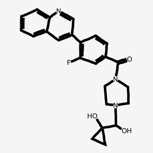 O=C(c1ccc(-c2cnc3ccccc3c2)c(F)c1)N1CCN(C(O)C2(O)CC2)CC1